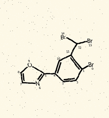 Brc1ccc(-c2ncco2)cc1C(Br)Br